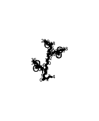 C=C(CCC)CCN(CCCCCCN(CCC(=C)OCC)CCC(=O)OCC)CCC(=O)OCC